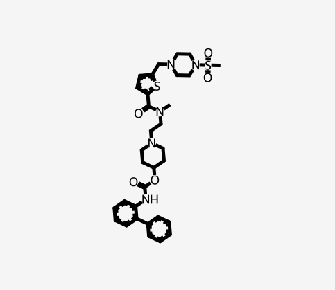 CN(CCN1CCC(OC(=O)Nc2ccccc2-c2ccccc2)CC1)C(=O)c1ccc(CN2CCN(S(C)(=O)=O)CC2)s1